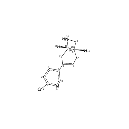 Clc1ccc(C2=CC[C@H]3CN[C@H]3C2)cn1